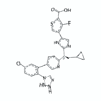 O=C(O)c1scc(-c2cnc([C@@H](CC3CC3)c3ccc(-c4cc(Cl)ccc4N4C=NNN4)cn3)[nH]2)c1F